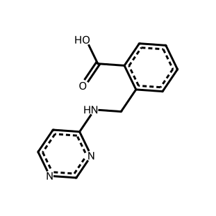 O=C(O)c1ccccc1CNc1ccncn1